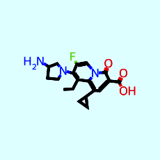 CCc1c(N2CCC(N)C2)c(F)cn2c(=O)c(C(=O)O)cc(C3CC3)c12